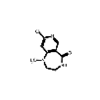 CN1CCNC(=O)c2cnc(Cl)cc21